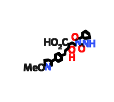 COc1ccc(-c2ccc(CCC(O)C(CCn3c(=O)[nH]c4ccccc4c3=O)C(=O)O)cc2)cn1